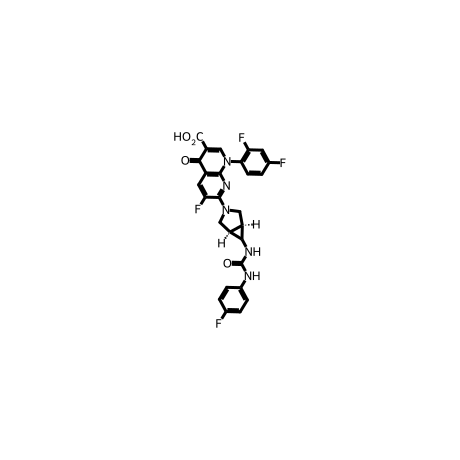 O=C(Nc1ccc(F)cc1)NC1[C@H]2CN(c3nc4c(cc3F)c(=O)c(C(=O)O)cn4-c3ccc(F)cc3F)C[C@@H]12